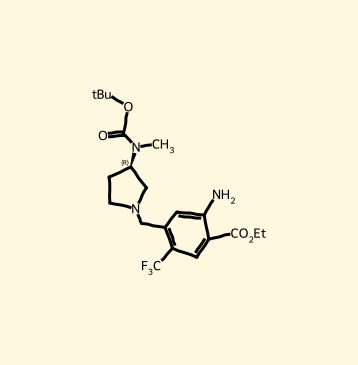 CCOC(=O)c1cc(C(F)(F)F)c(CN2CC[C@@H](N(C)C(=O)OC(C)(C)C)C2)cc1N